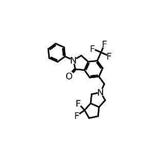 O=C1c2cc(CN3CC4CCC(F)(F)C4C3)cc(C(F)(F)F)c2CN1c1ccccc1